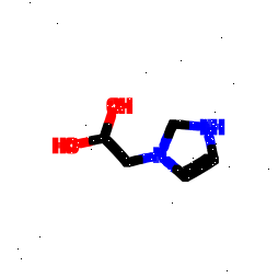 OC(O)CN1C=CNC1